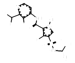 C[C@@H](NS(=O)(=O)c1cn(C)c(C(=O)Nc2ccnc(C(F)F)c2F)c1F)C(F)(F)F